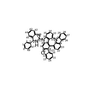 c1ccc(C2NC(n3c4cc5oc6ccccc6c5c5c6cccc7c8ccccc8n(c8cccc3c8c54)c76)=Nc3ccccc32)cc1